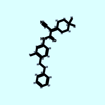 Cc1cc(NC(=O)C(C#N)=C2CCC(C)(C)CC2)ccc1CCc1ccccc1